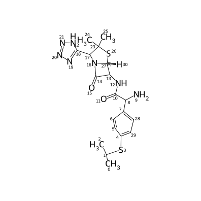 CC(C)Sc1ccc(C(N)C(=O)NC2C(=O)N3C(c4nnn[nH]4)C(C)(C)S[C@H]23)cc1